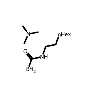 BC(=O)NCCCCCCCC.CN(C)C